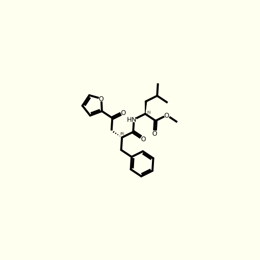 COC(=O)[C@H](CC(C)C)NC(=O)[C@@H](CC(=O)c1ccco1)Cc1ccccc1